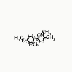 COc1ccc(C2=CC=C(C)N(C)O2)cc1.Cl